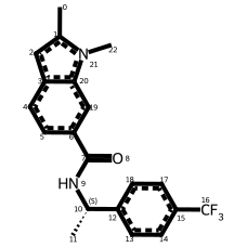 Cc1cc2ccc(C(=O)N[C@@H](C)c3ccc(C(F)(F)F)cc3)cc2n1C